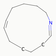 C1=CCCCCN=CCCCC1